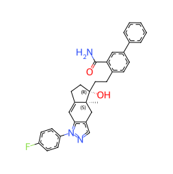 C[C@]12Cc3cnn(-c4ccc(F)cc4)c3C=C1CC[C@@]2(O)CCc1ccc(-c2ccccc2)cc1C(N)=O